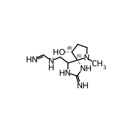 CN1CC[C@@H](O)[C@@]12NC(=N)NC2CNC=N